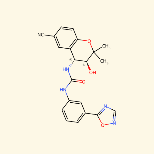 CC1(C)Oc2ccc(C#N)cc2[C@@H](NC(=O)Nc2cccc(-c3ncno3)c2)[C@@H]1O